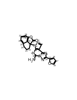 COC(=O)C1(n2ncc3c2nc(N)n2nc(-c4ccco4)nc32)CCCc2ccccc21